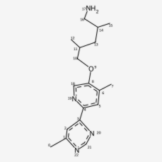 Cc1cc(-c2cc(C)c(OCC(C)CC(C)CN)cn2)ncn1